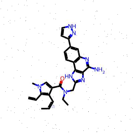 C=Cc1c(/C=C\C)c(C(=O)N(CC)Cc2nc3c(N)nc4cc(-c5cc[nH]n5)ccc4c3[nH]2)cn1C